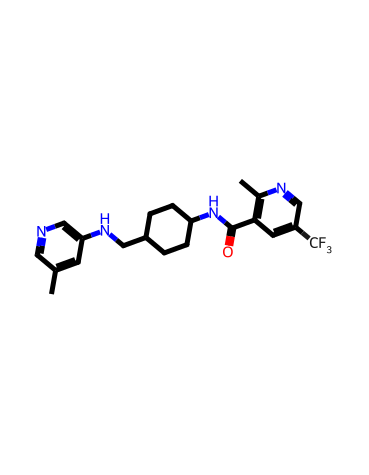 Cc1cncc(NCC2CCC(NC(=O)c3cc(C(F)(F)F)cnc3C)CC2)c1